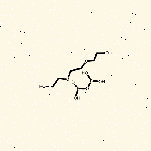 OCCOCCOCCO.OP(O)OP(O)O